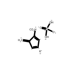 C=C1C=CC=C1C(=O)O.O=P([O-])(O)O.[K+]